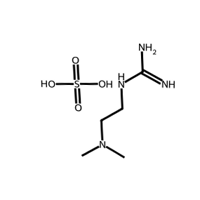 CN(C)CCNC(=N)N.O=S(=O)(O)O